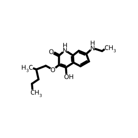 CCCC(C)COc1c(O)c2ccc(NCC)cc2[nH]c1=O